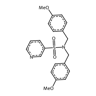 COc1ccc(CN(Cc2ccc(OC)cc2)S(=O)(=O)c2cccnc2)cc1